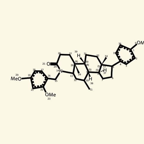 COc1ccc(C2CC[C@H]3[C@@H]4C(C)CC5N(Cc6ccc(OC)cc6OC)C(=O)CC[C@]5(C)[C@@H]4CC[C@]23C)cc1